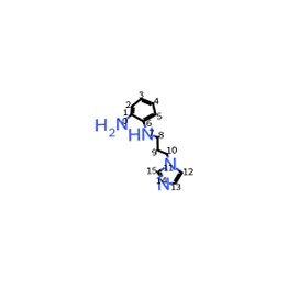 Nc1ccccc1NCCCn1ccnc1